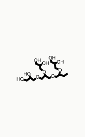 CCC(COCC(COCC(O)CO)OCC(O)CO)OCC(O)CO